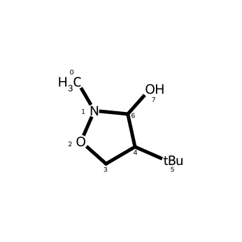 CN1OCC(C(C)(C)C)C1O